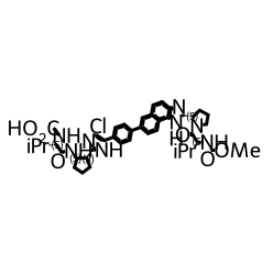 COC(=O)N[C@H](C(=O)N1CCC[C@H]1c1nc2ccc3cc(-c4ccc(-c5[nH]c([C@H]6CCC[C@@H]6NC(=O)[C@@H](NC(=O)O)C(C)C)nc5Cl)cc4)ccc3c2[nH]1)C(C)C